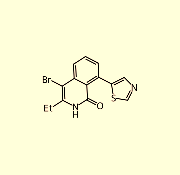 CCc1[nH]c(=O)c2c(-c3cncs3)cccc2c1Br